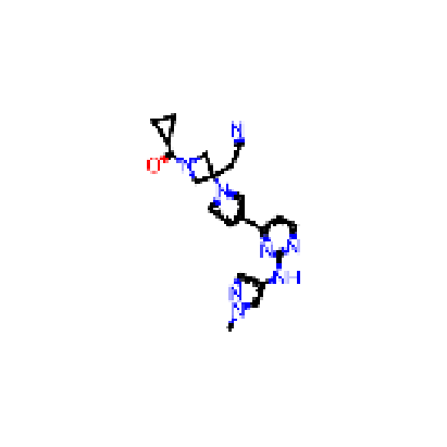 Cn1cc(Nc2nccc(-c3ccn(C4(CC#N)CN(C(=O)C5CC5)C4)c3)n2)cn1